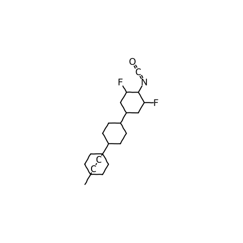 CC12CCC(C3CCC(C4CC(F)C(N=C=O)C(F)C4)CC3)(CC1)CC2